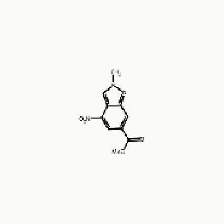 COC(=O)c1cc([N+](=O)[O-])c2cn(C)nc2c1